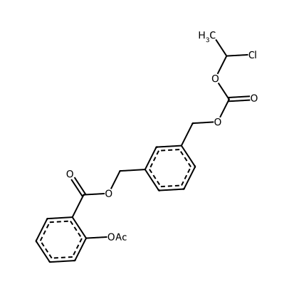 CC(=O)Oc1ccccc1C(=O)OCc1cccc(COC(=O)OC(C)Cl)c1